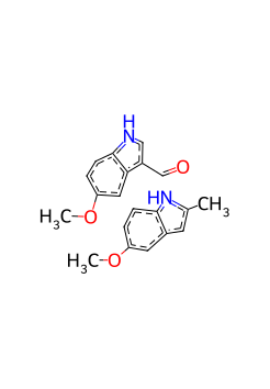 COc1ccc2[nH]c(C)cc2c1.COc1ccc2[nH]cc(C=O)c2c1